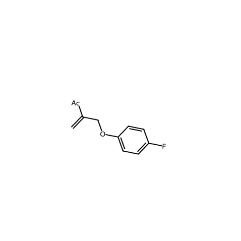 C=C(COc1ccc(F)cc1)C(C)=O